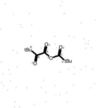 CC(C)(C)C(=O)OC(=O)C(=O)C(C)(C)C